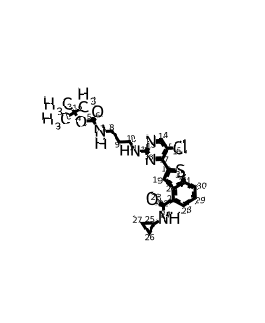 CC(C)(C)OC(=O)NCCCNc1ncc(Cl)c(-c2cc3c(C(=O)NC4CC4)cccc3s2)n1